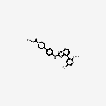 COc1ncc(C(F)(F)F)cc1-c1cccn2nc(Nc3ccc(C4CCN(C(=O)OC(C)(C)C)CC4)cc3)nc12